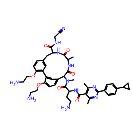 Cc1nc(-c2ccc(C3CC3)cc2)nc(C)c1C(=O)NC(CCN)C(=O)N(C)C1C(=O)NC(C)C(=O)NC(C(=O)NCC#N)Cc2ccc(OCCN)c(c2)-c2cc1ccc2OCCN